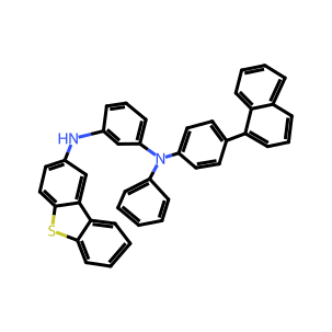 c1ccc(N(c2ccc(-c3cccc4ccccc34)cc2)c2cccc(Nc3ccc4sc5ccccc5c4c3)c2)cc1